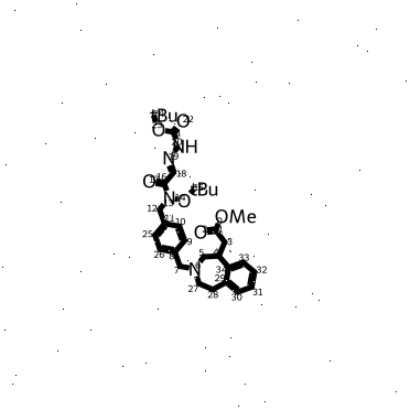 COC(=O)CC1CN(Cc2ccc(CN(OC(C)(C)C)C(=O)C=NNC(=O)OC(C)(C)C)cc2)CCc2ccccc21